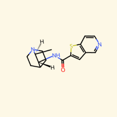 C[C@H]1[C@H](NC(=O)c2cc3cnccc3s2)C2CCN1CC2